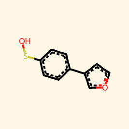 OSc1ccc(-c2ccoc2)cc1